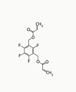 C=CC(=O)OCc1c(F)c(F)c(F)c(COC(=O)C=C)c1F